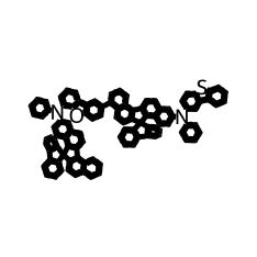 c1ccc(N(c2ccc3c4c(ccc3c2)-c2c(ccc3c(-c5ccc6oc7c(N(c8ccccc8)c8ccc9c%10c(ccc9c8)-c8c(ccc9ccccc89)C%108c9ccccc9-c9ccccc98)cccc7c6c5)cccc23)C42c3ccccc3-c3ccccc32)c2ccc3sc4ccccc4c3c2)cc1